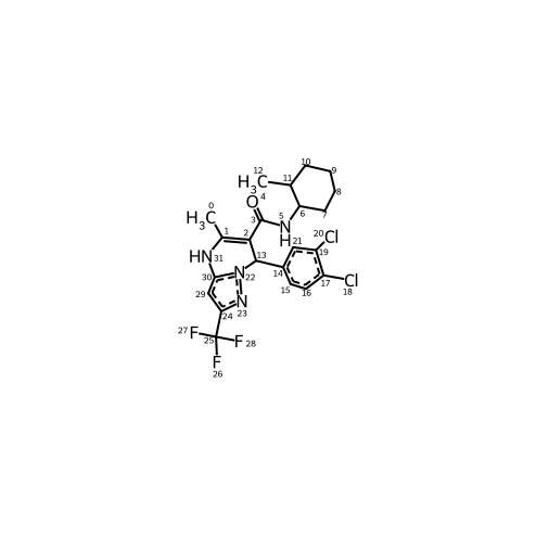 CC1=C(C(=O)NC2CCCCC2C)C(c2ccc(Cl)c(Cl)c2)n2nc(C(F)(F)F)cc2N1